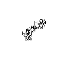 Cc1nn(C)c(C)c1NS(=O)(=O)c1ccc(NCc2ccc3c(c2)OCO3)nc1